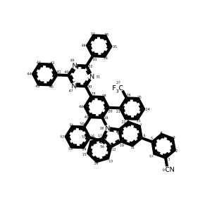 N#Cc1cccc(-c2ccc3c(c2)c2ccccc2n3-c2c(-c3ccccc3C(F)(F)F)cc(-c3nc(-c4ccccc4)nc(-c4ccccc4)n3)cc2-c2ccccc2C(F)(F)F)c1